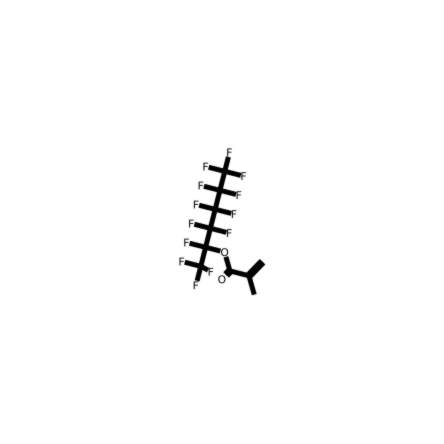 C=C(C)C(=O)OC(F)(C(F)(F)F)C(F)(F)C(F)(F)C(F)(F)C(F)(F)F